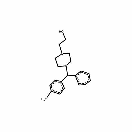 Cc1ccc(C(c2ccccc2)N2CCN(CCO)CC2)cc1